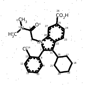 CN(C)C(=O)Cn1c(-c2ccccc2Cl)c(C2CCCCC2)c2ccc(C(=O)O)cc21